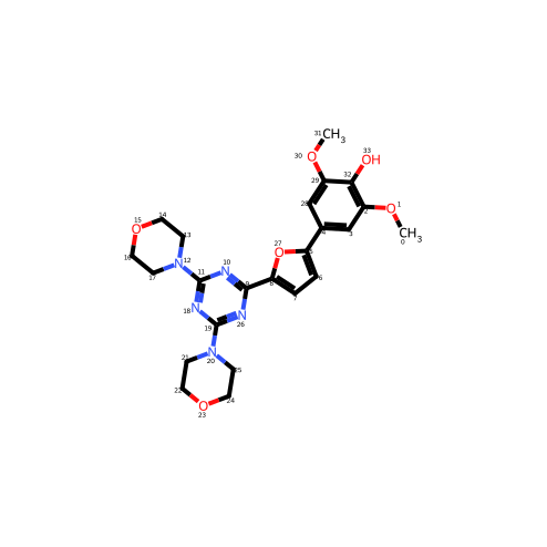 COc1cc(-c2ccc(-c3nc(N4CCOCC4)nc(N4CCOCC4)n3)o2)cc(OC)c1O